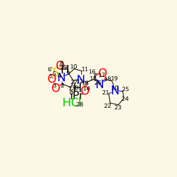 CC(C)[C@@H]1C(=O)N(S(C)(=O)=O)[C@@H]2CCN(C(=O)c3coc(CN4CCCCC4)n3)[C@H]21.Cl